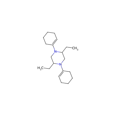 CCC1CN(C2=CCCCC2)C(CC)CN1C1=CCCCC1